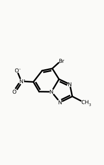 Cc1nc2c(Br)cc([N+](=O)[O-])cn2n1